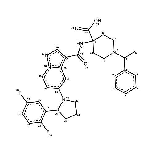 CC(c1ccccc1)N1CCC(NC(=O)c2cnn3ccc(N4CCCC4c4cc(F)ccc4F)cc23)(C(=O)O)CC1